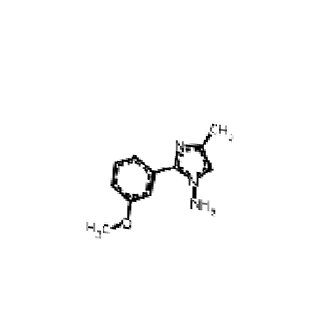 COc1cccc(-c2nc(C)cn2N)c1